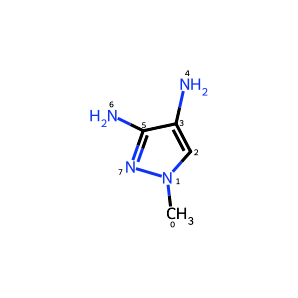 Cn1cc(N)c(N)n1